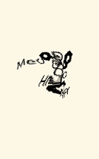 COc1cccc(S(=O)(=O)n2c(OC(=O)NC3CCN(C(C)C)CC3)cc3ccccc32)c1